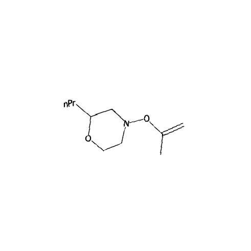 C=C(C)ON1CCOC(CCC)C1